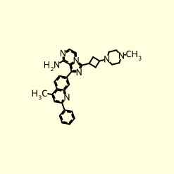 Cc1cc(-c2ccccc2)nc2cc(-c3nc(C4CC(N5CCN(C)CC5)C4)n4ccnc(N)c34)ccc12